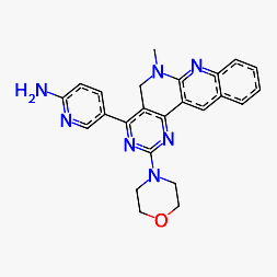 CN1Cc2c(-c3ccc(N)nc3)nc(N3CCOCC3)nc2-c2cc3ccccc3nc21